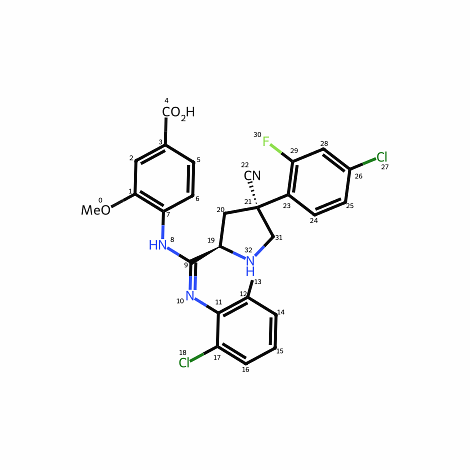 COc1cc(C(=O)O)ccc1N/C(=N/c1c(C)cccc1Cl)[C@H]1C[C@@](C#N)(c2ccc(Cl)cc2F)CN1